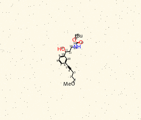 COCCCC#Cc1cccc(C(O)CCNC(=O)OC(C)(C)C)c1